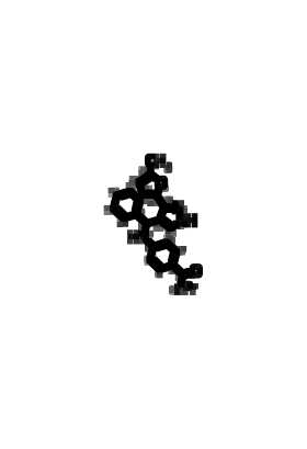 CCCC(=O)c1ccc(NC(c2ccccc2)c2c[nH]nc2-c2ccc(C)o2)cc1